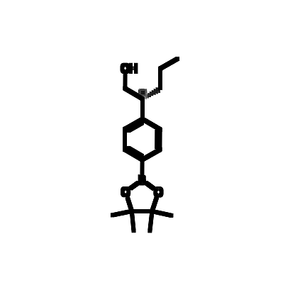 CCC[C@@H](CO)c1ccc(B2OC(C)(C)C(C)(C)O2)cc1